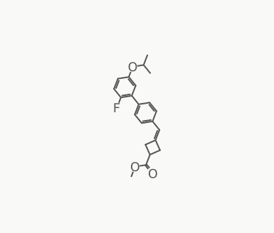 COC(=O)C1CC(=Cc2ccc(-c3cc(OC(C)C)ccc3F)cc2)C1